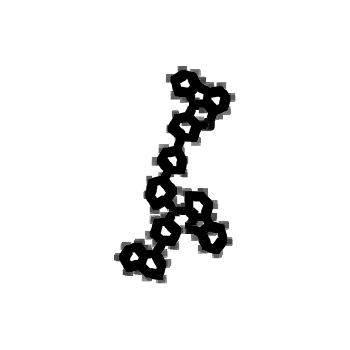 c1cc(-c2ccc(-c3ccc4c(c3)Oc3cccc5c6ccccc6n-4c35)cc2)cc(N(c2ccc(-c3cccc4ccccc34)cc2)c2cccc3c2sc2ccccc23)c1